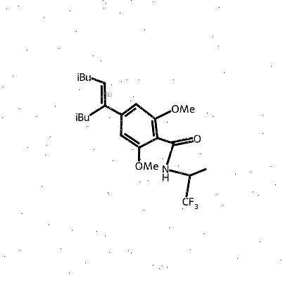 CCC(C)/C=C(/c1cc(OC)c(C(=O)NC(C)C(F)(F)F)c(OC)c1)C(C)CC